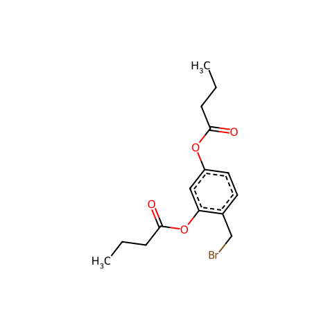 CCCC(=O)Oc1ccc(CBr)c(OC(=O)CCC)c1